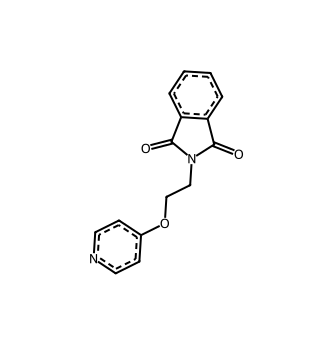 O=C1c2ccccc2C(=O)N1CCOc1ccncc1